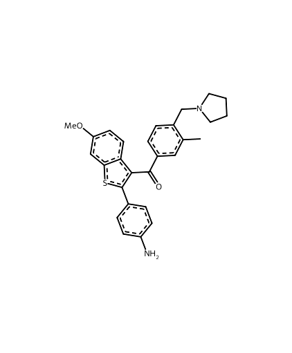 COc1ccc2c(C(=O)c3ccc(CN4CCCC4)c(C)c3)c(-c3ccc(N)cc3)sc2c1